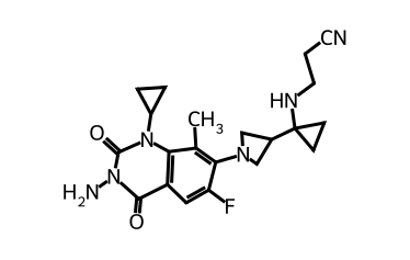 Cc1c(N2CC(C3(NCCC#N)CC3)C2)c(F)cc2c(=O)n(N)c(=O)n(C3CC3)c12